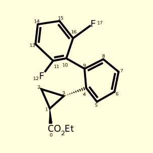 CCOC(=O)[C@H]1C[C@@H]1c1ccccc1-c1c(F)cccc1F